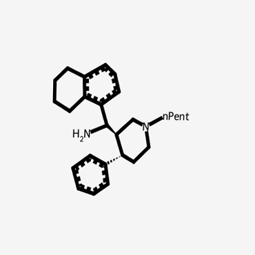 CCCCCN1CC[C@H](c2ccccc2)[C@@H](C(N)c2cccc3c2CCCC3)C1